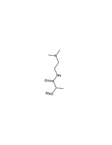 COC(C)C(=O)NCCN(C)C